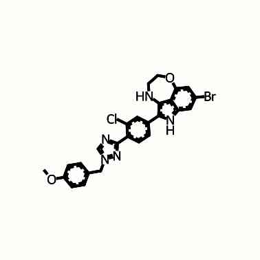 COc1ccc(Cn2cnc(-c3ccc(-c4[nH]c5cc(Br)cc6c5c4NCCO6)cc3Cl)n2)cc1